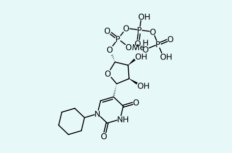 COP(=O)(O[C@H]1O[C@@H](c2cn(C3CCCCC3)c(=O)[nH]c2=O)[C@H](O)[C@@H]1O)OP(=O)(O)OP(=O)(O)O